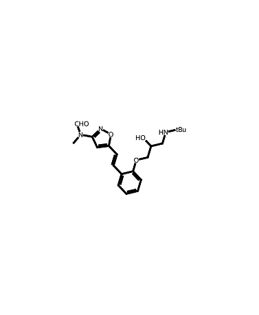 CN(C=O)c1cc(C=Cc2ccccc2OCC(O)CNC(C)(C)C)on1